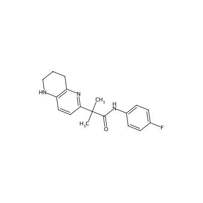 CC(C)(C(=O)Nc1ccc(F)cc1)c1ccc2c(n1)CCCN2